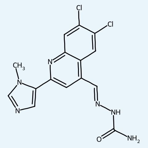 Cn1cncc1-c1cc(/C=N/NC(N)=O)c2cc(Cl)c(Cl)cc2n1